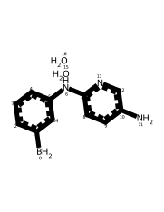 Bc1cccc(Nc2ccc(N)cn2)c1.O.O